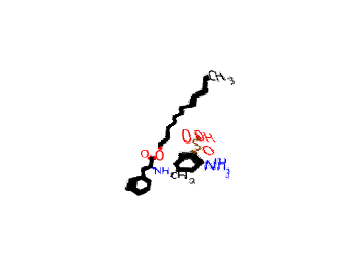 CCCCCCCCCCCCOC(=O)[C@@H](N)Cc1ccccc1.Cc1ccc(S(=O)(=O)O)cc1.N